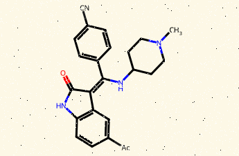 CC(=O)c1ccc2c(c1)C(=C(NC1CCN(C)CC1)c1ccc(C#N)cc1)C(=O)N2